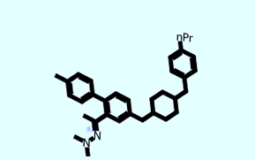 CCCc1ccc(CC2CCC(Cc3ccc(-c4ccc(C)cc4)c(/C(C)=N/N(C)C)c3)CC2)cc1